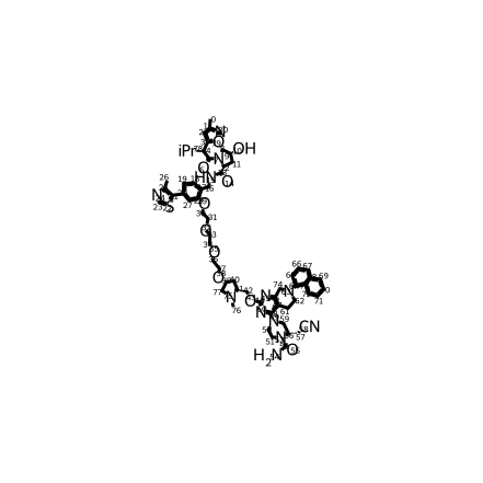 Cc1cc([C@@H](C(=O)N2C[C@H](O)C[C@H]2C(=O)NCc2ccc(-c3scnc3C)cc2OCCOCCOCCO[C@@H]2C[C@@H](COc3nc4c(c(N5CCN(C(N)=O)[C@@H](CC#N)C5)n3)CCN(c3cccc5ccccc35)C4)N(C)C2)C(C)C)on1